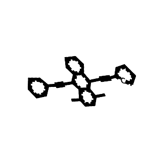 Cc1ccc(C)c2c(C#Cc3ccccc3)c3ccccc3c(C#Cc3ccccc3)c12